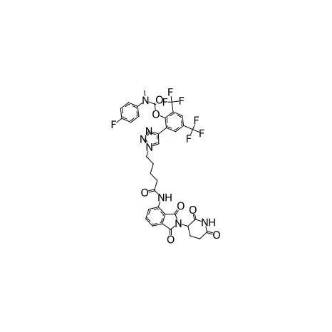 CN(C(=O)Oc1c(-c2cn(CCCCC(=O)Nc3cccc4c3C(=O)N(C3CCC(=O)NC3=O)C4=O)nn2)cc(C(F)(F)F)cc1C(F)(F)F)c1ccc(F)cc1